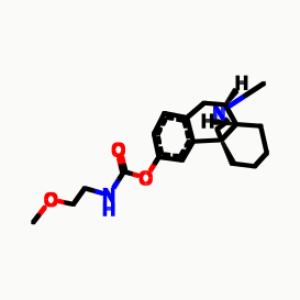 COCCNC(=O)Oc1ccc2c(c1)[C@@]13CCCC[C@H]1[C@@H](C2)N(C)CC3